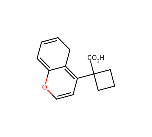 O=C(O)C1(C2=C3CC=CC=C3OC=C2)CCC1